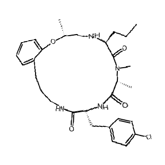 CCC[C@@H]1NC[C@@H](C)Oc2ccccc2CCCNC(=O)[C@@H](Cc2ccc(Cl)cc2)NC(=O)[C@@H](C)N(C)C1=O